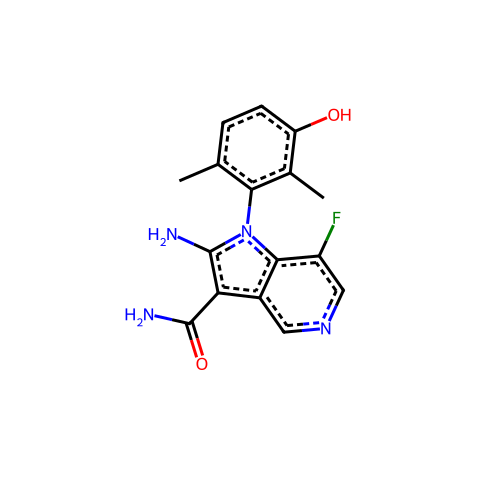 Cc1ccc(O)c(C)c1-n1c(N)c(C(N)=O)c2cncc(F)c21